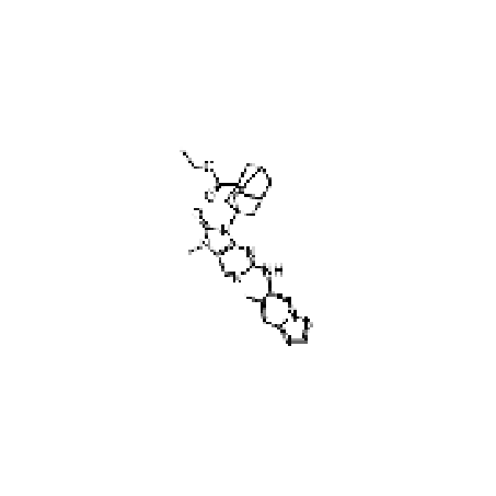 CCOC(=O)C12CC3CC(C1)CC(n1c(=O)n(C)c4cnc(Nc5cn6ncnc6cc5C)nc41)(C3)C2